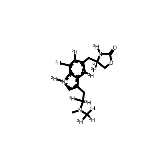 [2H]c1c(C[C@@]2([2H])COC(=O)N2[2H])c([2H])c2c(CC([2H])([2H])N(C)C([2H])([2H])[2H])cn([2H])c2c1[2H]